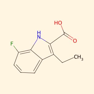 CCc1c(C(=O)O)[nH]c2c(F)cccc12